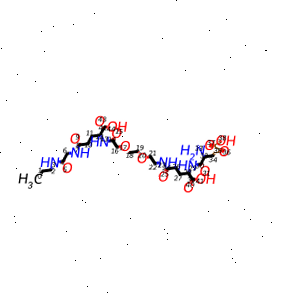 CCCNC(=O)CNC(=O)CCC(NC(=O)COCCOCCNC(=O)CCC(NC(=O)C(N)CS(=O)(=O)O)C(=O)O)C(=O)O